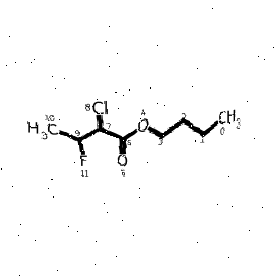 CCCCOC(=O)C(Cl)C(C)F